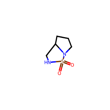 O=S1(=O)NC[C]2CCCN21